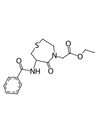 CCOC(=O)CN1CCSCC(NC(=O)c2ccccc2)C1=O